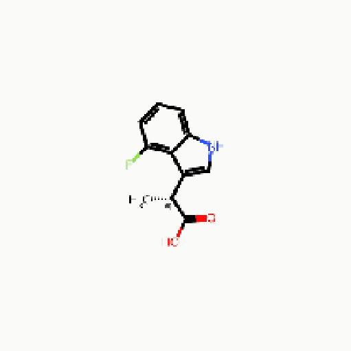 C[C@@H](C(=O)O)c1c[nH]c2cccc(F)c12